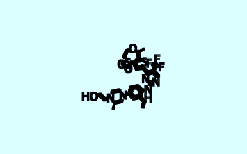 CCc1cc(N2CCN(CCO)[C@H](C)C2)ccc1Nc1ncc(C(F)(F)F)c(-c2cc3c(s2)[C@H](C)OCCS3(=O)=O)n1